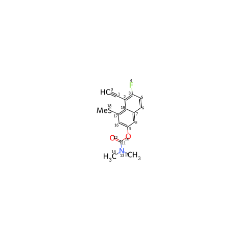 C#Cc1c(F)ccc2cc(OC(=O)N(C)C)cc(SC)c12